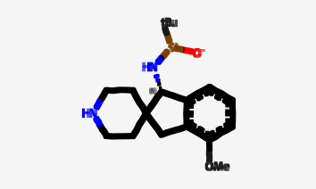 COc1cccc2c1CC1(CCNCC1)[C@@H]2N[S+]([O-])C(C)(C)C